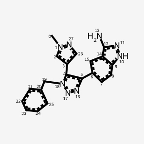 Cn1cc(-c2c(-c3ccc4[nH]nc(N)c4c3)nnn2Cc2ccccc2)cn1